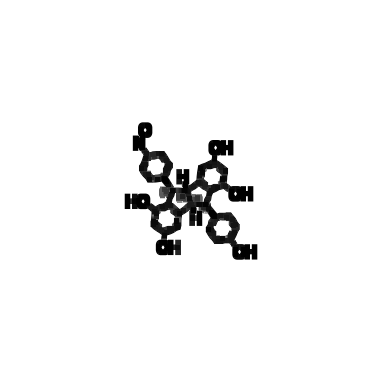 O=Nc1ccc([C@@H]2c3c(O)cc(O)cc3[C@H]3[C@H](c4ccc(O)cc4)c4c(O)cc(O)cc4[C@@H]23)cc1